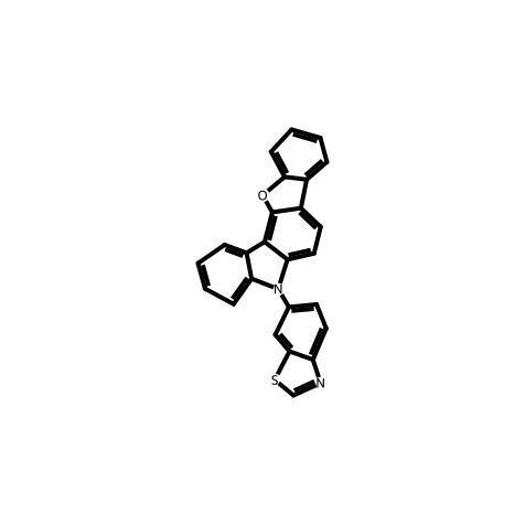 c1ccc2c(c1)oc1c2ccc2c1c1ccccc1n2-c1ccc2ncsc2c1